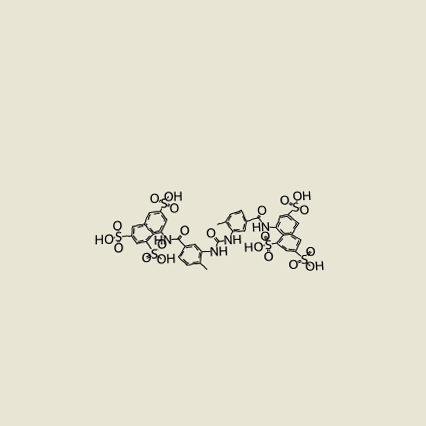 Cc1ccc(C(=O)Nc2cc(S(=O)(=O)O)cc3cc(S(=O)(=O)O)cc(S(=O)(=O)O)c23)cc1NC(=O)Nc1cc(C(=O)Nc2cc(S(=O)(=O)O)cc3cc(S(=O)(=O)O)cc(S(=O)(=O)O)c23)ccc1C